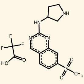 CS(=O)(=O)c1ccc2cnc(NC3CCNC3)nc2c1.O=C(O)C(F)(F)F